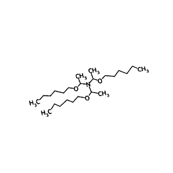 CCCCCCOC(C)N(C(C)OCCCCCC)C(C)OCCCCCC